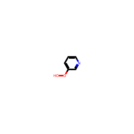 OOc1cccnc1